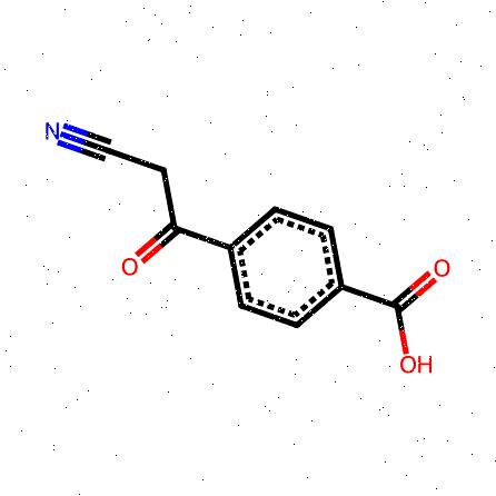 N#CCC(=O)c1ccc(C(=O)O)cc1